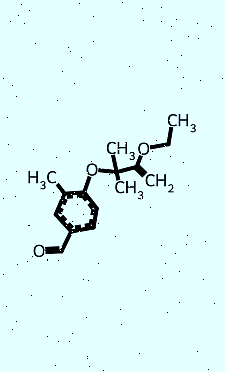 C=C(OCC)C(C)(C)Oc1ccc(C=O)cc1C